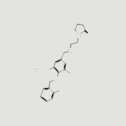 COc1cc(CNCCN2CCCC2=O)cc(Br)c1OCc1ccccc1F